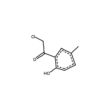 Cc1ccc(O)c(C(=O)CCl)c1